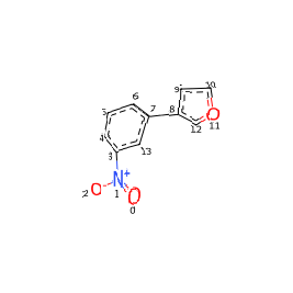 O=[N+]([O-])c1cccc(-c2[c]coc2)c1